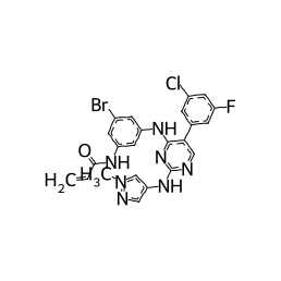 C=CC(=O)Nc1cc(Br)cc(Nc2nc(Nc3cnn(C)c3)ncc2-c2cc(F)cc(Cl)c2)c1